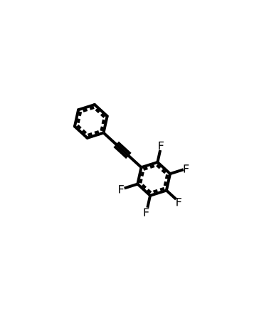 Fc1c(F)c(F)c(C#Cc2ccccc2)c(F)c1F